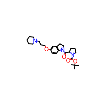 CC(C)(C)OC(=O)N1CCCC1C(=O)N1CCc2cc(OCCCN3CCCCC3)ccc21